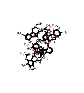 COc1ccc2[nH]c3c(c2c1)C[C@H](CO)N[C@]31CS[C@@H]2c3c(OC(C)=O)c(C)c4c(c3[C@H](COC1=O)N1[C@@H]2[C@H]2c3c(cc(C)c(OC)c3O)C[C@@H]([C@@H]1C#N)N2C)OC(c1cccc2[nH]c3c(c12)C[C@@H](CN)N[C@]31CS[C@@H]2c3c(OC(C)=O)c(C)c5c(c3[C@H](COC1=O)N1[C@@H]2[C@H]2c3c(cc(C)c(OC)c3O)C3(C)[C@@H]([C@@H]1C)N23)OCO5)O4